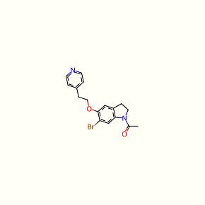 CC(=O)N1CCc2cc(OCCc3ccncc3)c(Br)cc21